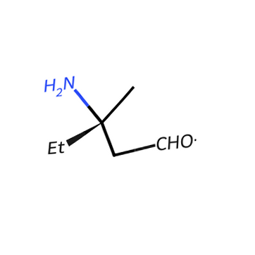 CC[C@](C)(N)C[C]=O